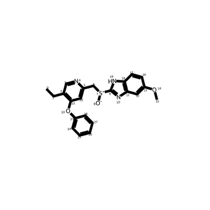 CCc1cnc(C[S+]([O-])c2nc3cc(OC)ccc3[nH]2)cc1Oc1ccccc1